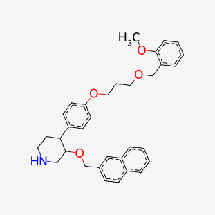 COc1ccccc1COCCCOc1ccc(C2CCNCC2OCc2ccc3ccccc3c2)cc1